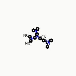 N#Cc1ccc2c(c1)c1cc(C#N)ccc1n2-c1ccc2c(c1)c1cc(-n3c4ccccc4c4ccccc43)ccc1n2-c1ccc(-c2ccc(-c3cc(-c4ccccc4)nc(-c4ccccc4)n3)cc2)c(C#N)c1